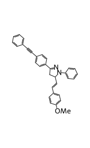 COc1ccc(C=CC2CC(c3ccc(C#Cc4ccccc4)cc3)=NN2c2ccccc2)cc1